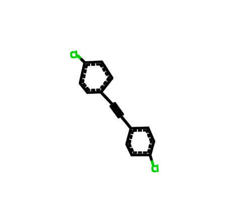 Clc1ccc(C#Cc2ccc(Cl)cc2)cc1